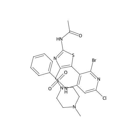 CC(=O)Nc1nc(CN2CCN(C)CC2)c(-c2c(NS(=O)(=O)c3ccccc3)cc(Cl)nc2Br)s1